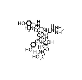 C[C@H](NC(=O)[C@H](CCCNC(=N)N)NC(=O)[C@H](Cc1ccc(O)cc1)NC(=O)[C@@H](NC(=O)[C@@H](N)CC(=O)O)[C@@H](C)O)C(=O)N[C@@H](Cc1ccc(O)cc1)C(N)=O